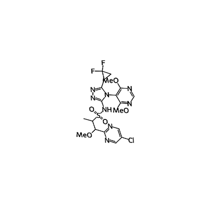 COc1ncnc(OC)c1-n1c(NS(=O)(=O)C(C)C(OC)c2ncc(Cl)cn2)nnc1C1CC1(F)F